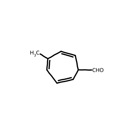 CC1=CC=CC(C=O)C=C1